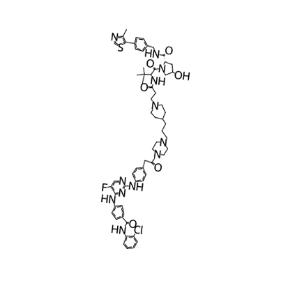 Cc1ncsc1-c1ccc(CNC(=O)[C@@H]2C[C@@H](O)CN2C(=O)[C@@H](NC(=O)CCN2CCC(CCCN3CCN(C(=O)Cc4ccc(Nc5ncc(F)c(Nc6ccc(C(=O)Nc7ccccc7Cl)cc6)n5)cc4)CC3)CC2)C(C)(C)C)cc1